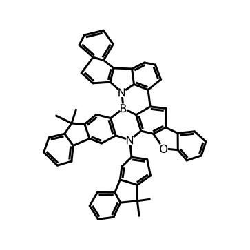 CC1(C)c2ccccc2-c2cc(N3c4cc5c(cc4B4c6c(cc7c(oc8ccccc87)c63)-c3cccc6c7c8ccccc8ccc7n4c36)C(C)(C)c3ccccc3-5)ccc21